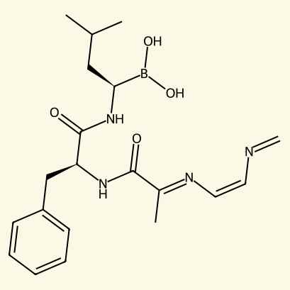 C=N/C=C\N=C(/C)C(=O)N[C@@H](Cc1ccccc1)C(=O)N[C@@H](CC(C)C)B(O)O